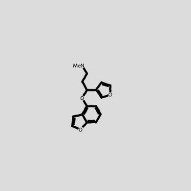 CNCCC(Oc1cccc2occc12)c1ccoc1